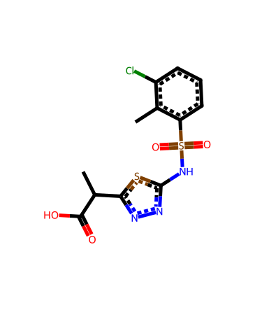 Cc1c(Cl)cccc1S(=O)(=O)Nc1nnc(C(C)C(=O)O)s1